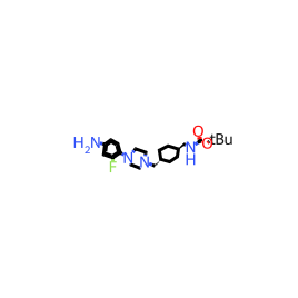 CC(C)(C)OC(=O)NC[C@H]1CC[C@H](CN2CCN(c3ccc(N)cc3F)CC2)CC1